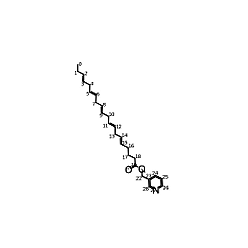 CCC=CCC=CCC=CCC=CCC=CCCCC(=O)OCc1cccnc1